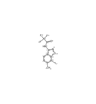 Cc1ccc2c(NC(=O)C(F)(F)F)noc2c1I